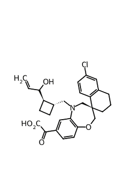 C=CC(O)[C@@H]1CC[C@H]1CN1C[C@@]2(CCCc3cc(Cl)ccc32)COc2ccc(C(=O)C(=O)O)cc21